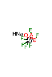 [NaH].[O]=[Zr]([F])([F])([F])([F])([O]F)[O]F